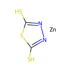 Sc1nnc(S)s1.[Zn]